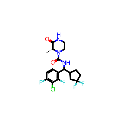 C[C@@H]1C(=O)NCCN1C(=O)NC(c1ccc(F)c(Cl)c1F)C1CCC(F)(F)C1